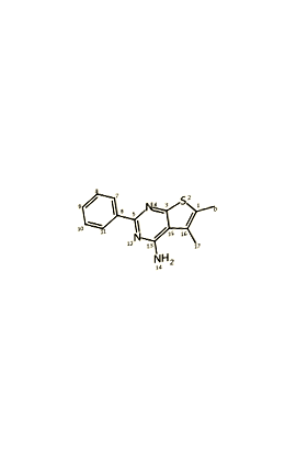 Cc1sc2nc(-c3ccccc3)nc(N)c2c1C